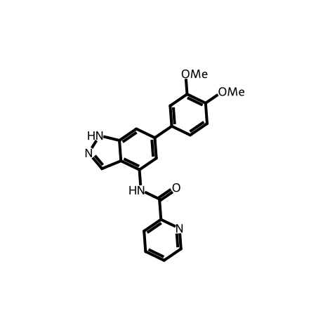 COc1ccc(-c2cc(NC(=O)c3ccccn3)c3cn[nH]c3c2)cc1OC